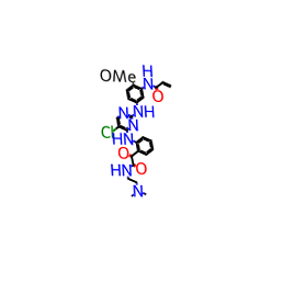 C=CC(=O)Nc1cc(Nc2ncc(Cl)c(Nc3ccccc3C(=O)C(=O)NCCN(C)C)n2)ccc1OC